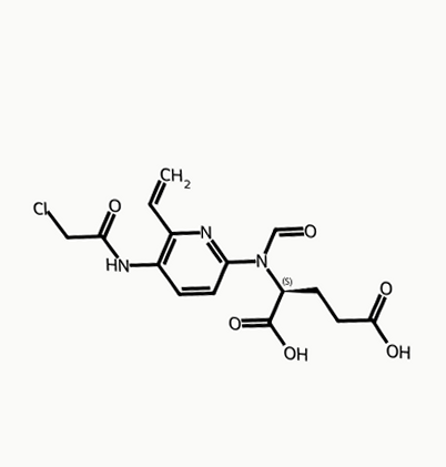 C=Cc1nc(N(C=O)[C@@H](CCC(=O)O)C(=O)O)ccc1NC(=O)CCl